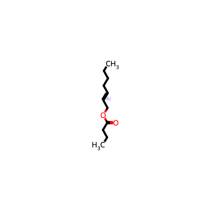 CCCC/C=C/COC(=O)CCC